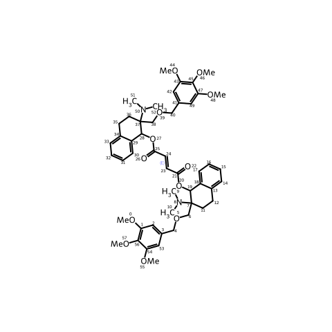 COc1cc(COCC2(N(C)C)CCc3ccccc3C2OC(=O)/C=C/C(=O)OC2c3ccccc3CCC2(COCc2cc(OC)c(OC)c(OC)c2)N(C)C)cc(OC)c1OC